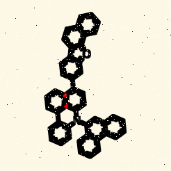 c1ccc(-c2ccccc2N(c2ccc(-c3ccc4c(c3)oc3c5ccccc5ccc43)cc2)c2cc3ccccc3c3ccccc23)cc1